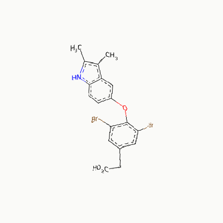 Cc1[nH]c2ccc(Oc3c(Br)cc(CC(=O)O)cc3Br)cc2c1C